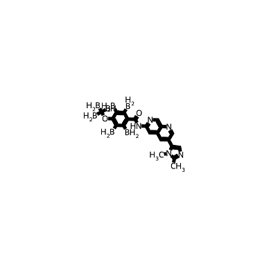 Bc1c(B)c(C(=O)Nc2cc3cc(-c4cnc(C)n4C)cnc3cn2)c(B)c(B)c1OC(B)(B)B